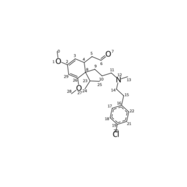 COC1=CC(CC=O)C(CCCN(C)CCc2ccc(Cl)cc2)(C(C)C)C(OC)=C1